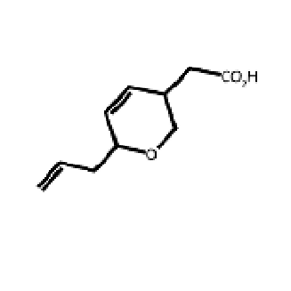 C=CCC1C=CC(CC(=O)O)CO1